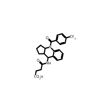 O=C(O)CCC(=O)NC1c2ccccc2N(C(=O)c2ccc(C(F)(F)F)cc2)C2CCCC12